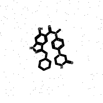 CN(C(=O)c1cc2c(CC3CCCCC3)n[nH]c2cc1O)c1ccc(N2CCNC(=O)C2)cc1